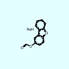 O=COc1ccc2oc3ccccc3c2c1.[NaH]